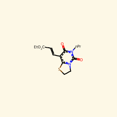 CCCn1c(=O)c(/C=C/C(=O)OCC)c2n(c1=O)CCS2